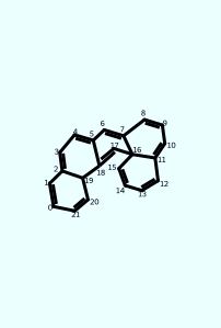 C1=CC2=CC=C3C=C4C=CC=C5C=CC=CC54C=C3C2C=C1